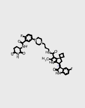 Cc1[nH]c2c(c1C(=O)NCCCN1CCN(c3ccc(F)c(C(=O)NC4CCC(=O)NC4=O)c3)CC1)C1(CCC1)C/C2=C1/C(=O)Nc2ccc(F)cc21